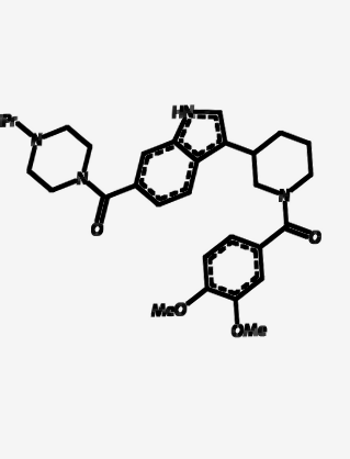 COc1ccc(C(=O)N2CCCC(c3c[nH]c4cc(C(=O)N5CCN(C(C)C)CC5)ccc34)C2)cc1OC